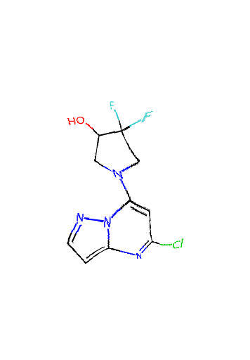 OC1CN(c2cc(Cl)nc3ccnn23)CC1(F)F